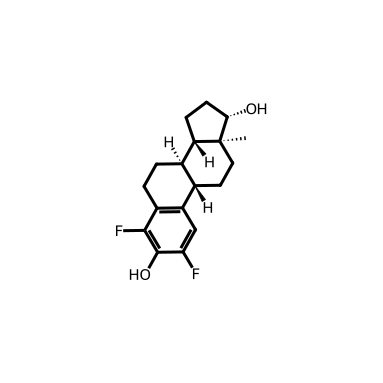 C[C@]12CC[C@@H]3c4cc(F)c(O)c(F)c4CC[C@H]3[C@@H]1CC[C@@H]2O